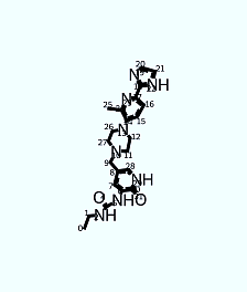 CCNC(=O)Nc1cc(CN2CCN(c3ccc(-c4ncc[nH]4)nc3C)CC2)c[nH]c1=O